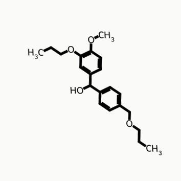 CCCOCc1ccc(C(O)c2ccc(OC)c(OCCC)c2)cc1